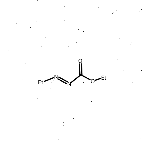 CC/N=N/C(=O)OCC